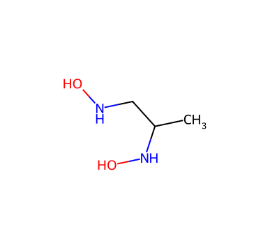 CC(CNO)NO